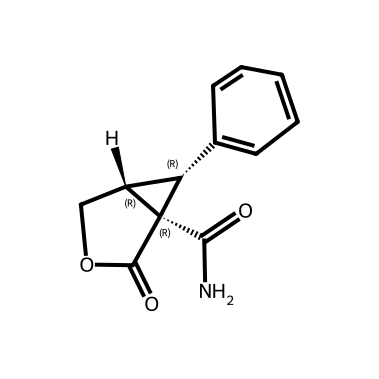 NC(=O)[C@]12C(=O)OC[C@@H]1[C@@H]2c1ccccc1